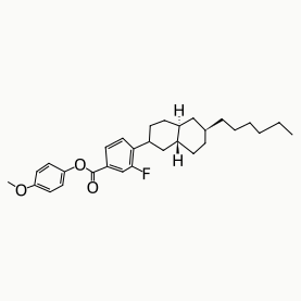 CCCCCC[C@H]1CC[C@@H]2CC(c3ccc(C(=O)Oc4ccc(OC)cc4)cc3F)CC[C@H]2C1